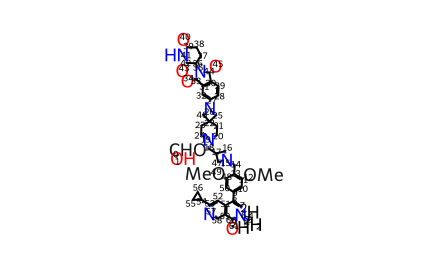 O=CO.[2H]C([2H])([2H])n1cc(-c2cc(OC)c(CN3CC(CN4CCC5(CC4)CN(c4ccc6c(c4)C(=O)N(C4CCC(=O)NC4=O)C6=O)C5)C3)c(OC)c2)c2cc(C3CC3)ncc2c1=O